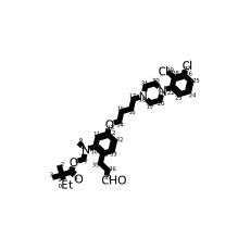 CCC(C)(C)C(=O)OCN(C)c1cc(OCCCCN2CCN(c3cccc(Cl)c3Cl)CC2)ccc1CCC=O